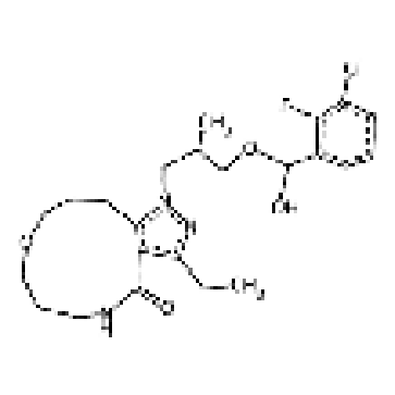 CCc1nn(C[C@@H](C)COC(O)c2cccc(Cl)c2F)c2c1C(=O)NCCCOCCC2